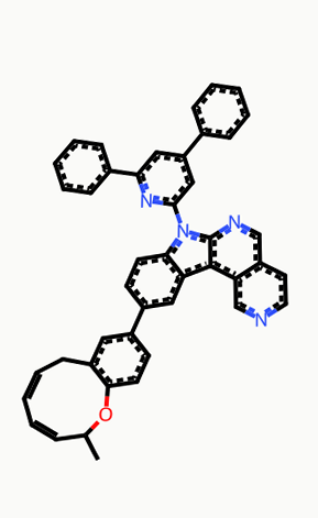 CC1/C=C\C=C/Cc2cc(-c3ccc4c(c3)c3c5cnccc5cnc3n4-c3cc(-c4ccccc4)cc(-c4ccccc4)n3)ccc2O1